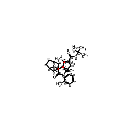 CCN1C(=O)N(C(C)C)C2(CC3CCC(C2)N3C[C@H]2CN(C(=O)OC(C)(C)C)C[C@@H]2c2ccccc2)C1=O